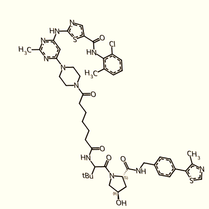 Cc1nc(Nc2ncc(C(=O)Nc3c(C)cccc3Cl)s2)cc(N2CCN(C(=O)CCCCCC(=O)NC(C(=O)N3C[C@H](O)C[C@H]3C(=O)NCc3ccc(-c4scnc4C)cc3)C(C)(C)C)CC2)n1